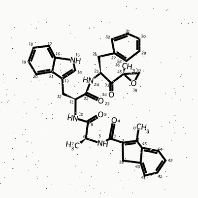 CC1=C(C(=O)N[C@@H](C)C(=O)N[C@@H](Cc2c[nH]c3ccccc23)C(=O)N[C@@H](Cc2ccccc2)C(=O)[C@@]2(C)CO2)Cc2ccccc21